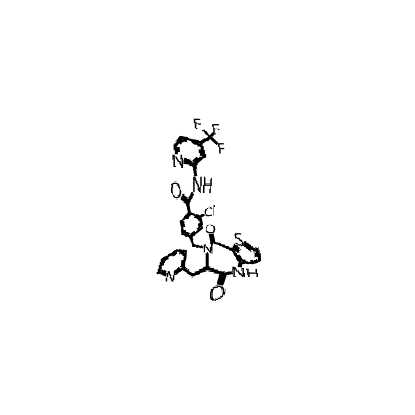 O=C(Nc1cc(C(F)(F)F)ccn1)c1ccc(CN2C(=O)c3sccc3NC(=O)C2Cc2ccccn2)cc1Cl